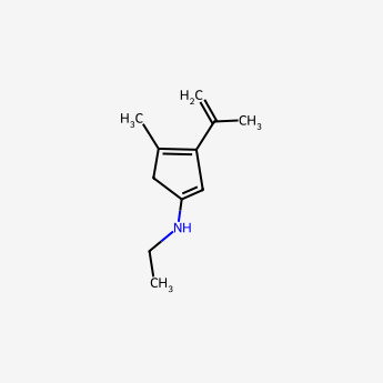 C=C(C)C1=C(C)CC(NCC)=C1